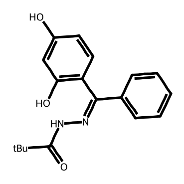 CC(C)(C)C(=O)NN=C(c1ccccc1)c1ccc(O)cc1O